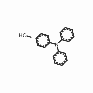 CO.c1ccc(N(c2ccccc2)c2ccccc2)cc1